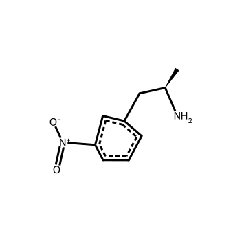 C[C@@H](N)Cc1cccc([N+](=O)[O-])c1